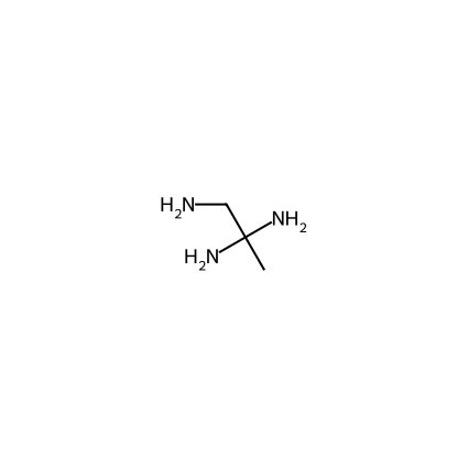 CC(N)(N)CN